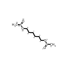 CS(=O)OCCCCCCOS(C)=O